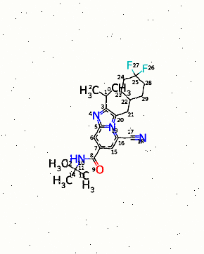 CC(C)c1nc2cc(C(=O)NC(C)(C)C)cc(C#N)n2c1CC1CCC(F)(F)CC1